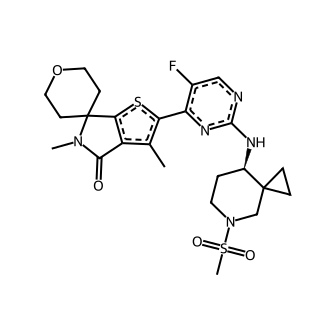 Cc1c(-c2nc(N[C@@H]3CCN(S(C)(=O)=O)CC34CC4)ncc2F)sc2c1C(=O)N(C)C21CCOCC1